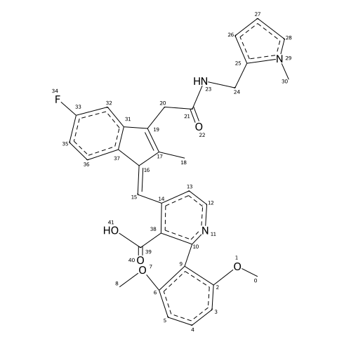 COc1cccc(OC)c1-c1nccc(C=C2C(C)=C(CC(=O)NCc3cccn3C)c3cc(F)ccc32)c1C(=O)O